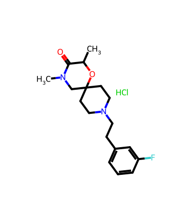 CC1OC2(CCN(CCc3cccc(F)c3)CC2)CN(C)C1=O.Cl